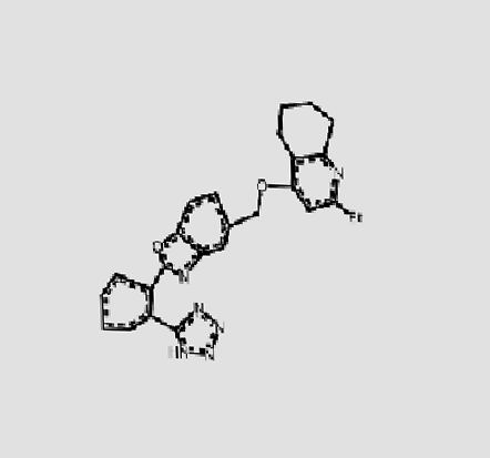 CCc1cc(OCc2ccc3oc(-c4ccccc4-c4nnn[nH]4)nc3c2)c2c(n1)CCCC2